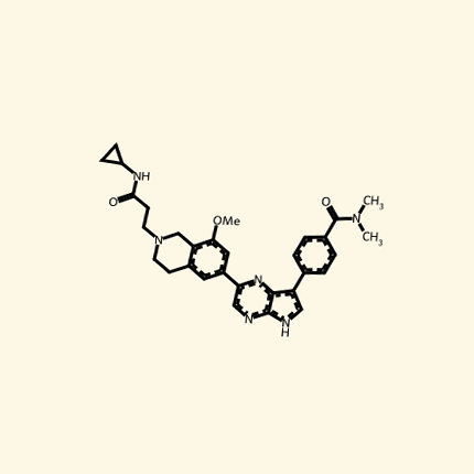 COc1cc(-c2cnc3[nH]cc(-c4ccc(C(=O)N(C)C)cc4)c3n2)cc2c1CN(CCC(=O)NC1CC1)CC2